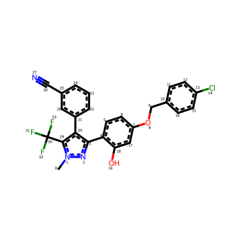 Cn1nc(-c2ccc(OCc3ccc(Cl)cc3)cc2O)c(-c2cccc(C#N)c2)c1C(F)(F)F